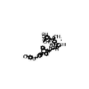 COc1ccc(COc2cc(NC3(C(=O)NCCCn4cc(-c5ccccc5F)c5c(CN6CCN(CCOc7ccc(Cl)cc7)CC6)cccc54)CCNCC3)ccc2OC)cc1OC